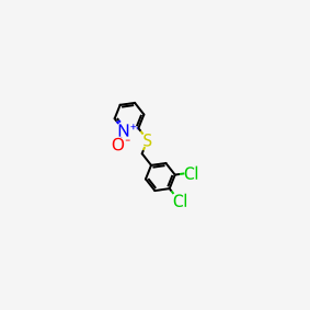 [O-][n+]1ccccc1SCc1ccc(Cl)c(Cl)c1